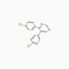 Clc1ccc(-c2cncnc2-c2ccc(Cl)cc2)cc1